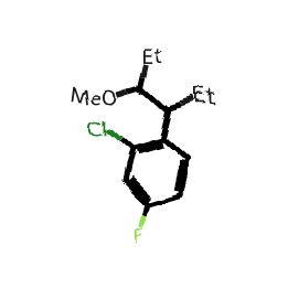 CC[C](OC)C(CC)c1ccc(F)cc1Cl